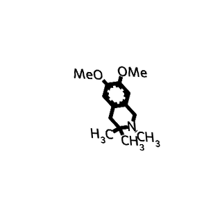 COc1cc2c(cc1OC)CC(C)(C)N(C)C2